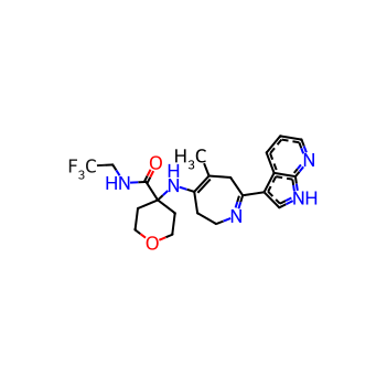 CC1=C(NC2(C(=O)NCC(F)(F)F)CCOCC2)CCN=C(c2c[nH]c3ncccc23)C1